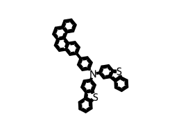 c1ccc2c(c1)ccc1ccc3cc(-c4ccc(N(c5ccc6c(c5)sc5ccccc56)c5ccc6sc7ccccc7c6c5)cc4)ccc3c12